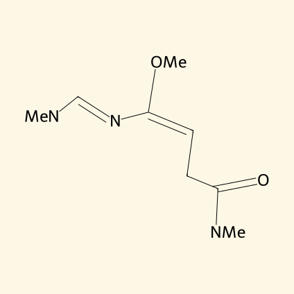 CN/C=N/C(=C\CC(=O)NC)OC